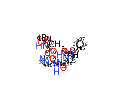 CC(NC(=O)OC(C)(C)C)C(=O)OCc1nccn1CC(=O)NNC(=O)[C@@H]1CC[C@@H]2CN1C(=O)N2OCc1ccccc1